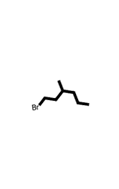 CCCC(C)CCBr